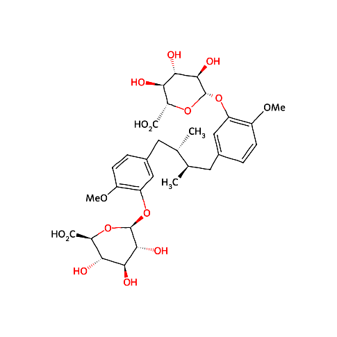 COc1ccc(C[C@@H](C)[C@@H](C)Cc2ccc(OC)c(O[C@@H]3O[C@H](C(=O)O)[C@@H](O)[C@H](O)[C@H]3O)c2)cc1O[C@@H]1O[C@H](C(=O)O)[C@@H](O)[C@H](O)[C@H]1O